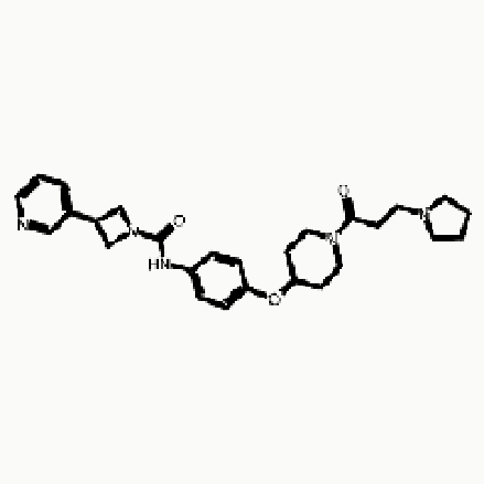 O=C(CCN1CCCC1)N1CCC(Oc2ccc(NC(=O)N3CC(c4cccnc4)C3)cc2)CC1